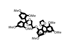 COc1ccc(C2(c3ccc(OC)cc3OC)OCC(COc3cc(OC)cc(OC)c3C3(c4c(OC)cc(OC)cc4OC)OCCO3)O2)c(OC)c1